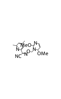 COC1=NC=CC(OC)N1CON=C(C#N)c1cc(C)cc(C)n1